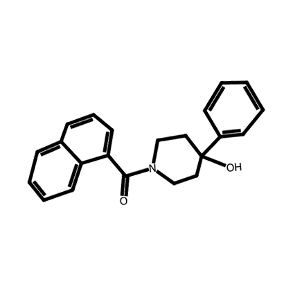 O=C(c1cccc2ccccc12)N1CCC(O)(c2ccccc2)CC1